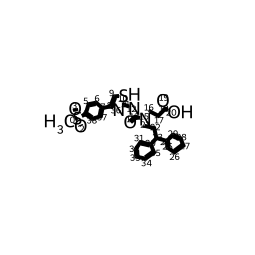 CS(=O)(=O)c1ccc(-c2csc(NC(=O)N(CCC(=O)O)CCC(c3ccccc3)c3ccccc3)n2)cc1